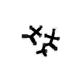 C[SiH](C)OC(=O)C(F)(F)F.O=C(O)C(F)(F)F